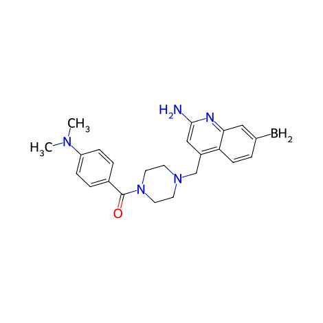 Bc1ccc2c(CN3CCN(C(=O)c4ccc(N(C)C)cc4)CC3)cc(N)nc2c1